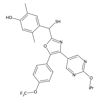 Cc1cc(C(S)c2nc(-c3cnc(OC(C)C)nc3)c(-c3ccc(OC(F)(F)F)cc3)o2)c(C)cc1O